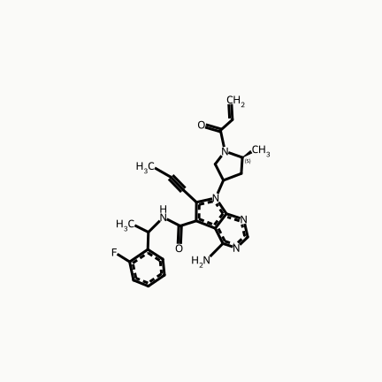 C=CC(=O)N1CC(n2c(C#CC)c(C(=O)NC(C)c3ccccc3F)c3c(N)ncnc32)C[C@@H]1C